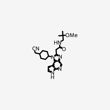 COC(C)(C)CNC(=O)Cc1nc2cnc3[nH]ccc3c2n1C1CCC(CC#N)CC1